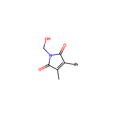 CC1=C(C(C)C)C(=O)N(CO)C1=O